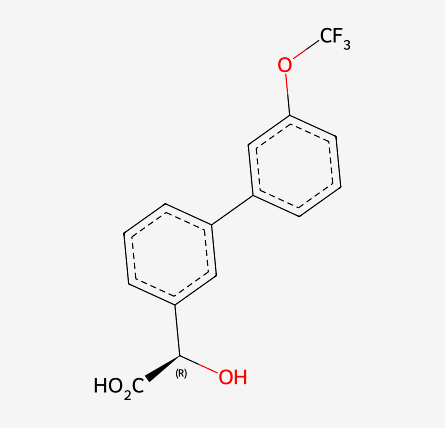 O=C(O)[C@H](O)c1cccc(-c2cccc(OC(F)(F)F)c2)c1